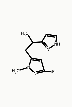 CC(C)c1cc(CC(C)c2cc[nH]n2)n(C)n1